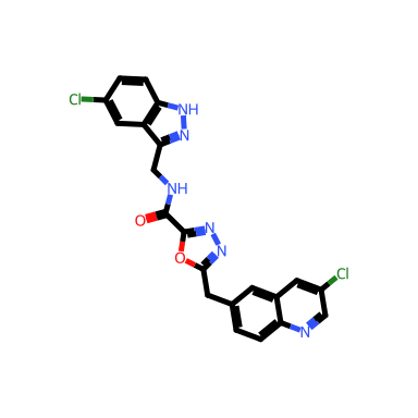 O=C(NCc1n[nH]c2ccc(Cl)cc12)c1nnc(Cc2ccc3ncc(Cl)cc3c2)o1